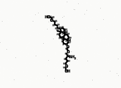 CC12CCC(OCOCC(N)CCCOCO)C[C@H]1CCC1C2CCC2(C)C(CCCCOCO)CC[C@@H]12